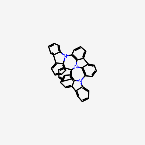 c1ccc(-n2c3c(-n4c5ccccc5c5ccccc54)cccc3c3cccc(-n4c5ccccc5c5ccccc54)c32)cc1